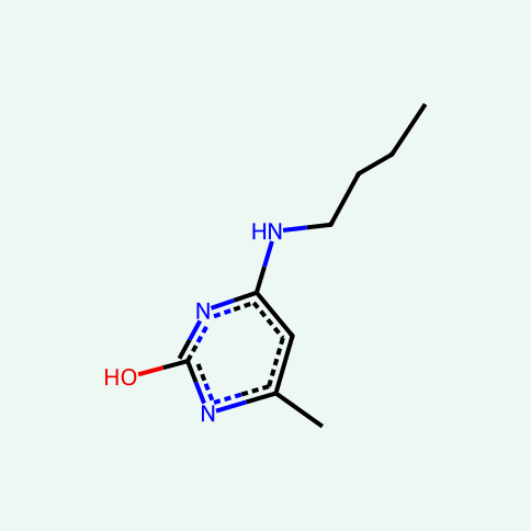 CCCCNc1cc(C)nc(O)n1